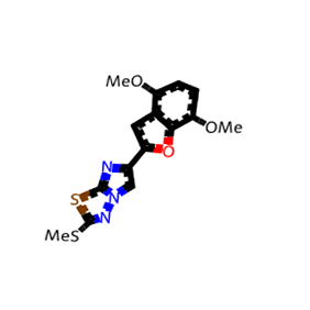 COc1ccc(OC)c2oc(-c3cn4nc(SC)sc4n3)cc12